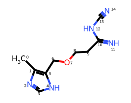 Cc1nc[nH]c1COCCC(=N)NC#N